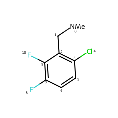 CNCc1c(Cl)ccc(F)c1F